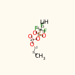 CCCOC(=O)OS(=O)(=O)C(F)(F)F.[LiH]